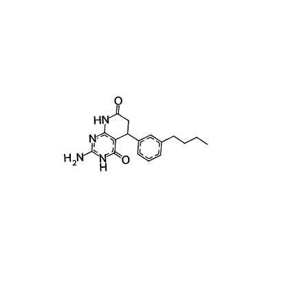 CCCCc1cccc(C2CC(=O)Nc3nc(N)[nH]c(=O)c32)c1